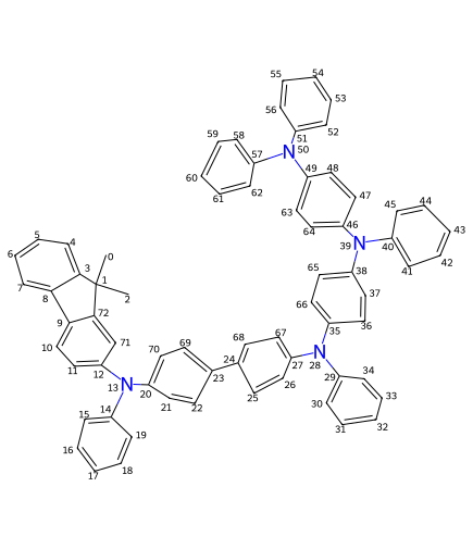 CC1(C)c2ccccc2-c2ccc(N(c3ccccc3)c3ccc(-c4ccc(N(c5ccccc5)c5ccc(N(c6ccccc6)c6ccc(N(c7ccccc7)c7ccccc7)cc6)cc5)cc4)cc3)cc21